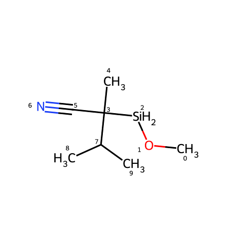 CO[SiH2]C(C)(C#N)C(C)C